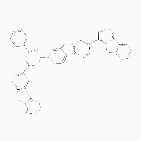 c1ccc(C2N=C(c3ccc4oc5ccccc5c4c3)NC(c3ccc4c(c3)sc3cc(-c5cccc6c5oc5ccccc56)ccc34)N2)cc1